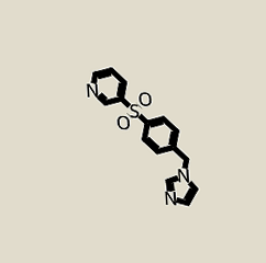 O=S(=O)(c1ccc(Cn2ccnc2)cc1)c1cccnc1